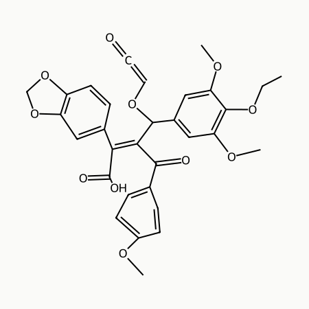 CCOc1c(OC)cc(C(OC=C=O)C(C(=O)c2ccc(OC)cc2)=C(C(=O)O)c2ccc3c(c2)OCO3)cc1OC